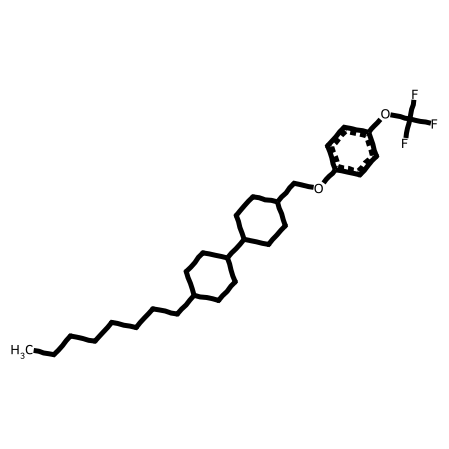 CCCCCCCCC1CCC(C2CCC(COc3ccc(OC(F)(F)F)cc3)CC2)CC1